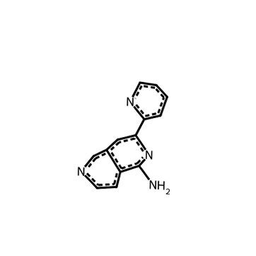 Nc1nc(-c2ccccn2)cc2cnccc12